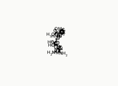 COOC(C)[C@H](C)NP(=O)(OC[C@H]1O[C@@H](n2cnc3c(N)nc(N)nc32)C(C)(O)C1O)Oc1ccccc1